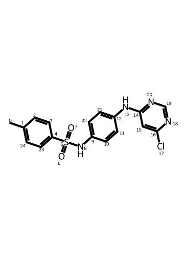 Cc1ccc(S(=O)(=O)Nc2ccc(Nc3cc(Cl)ncn3)cc2)cc1